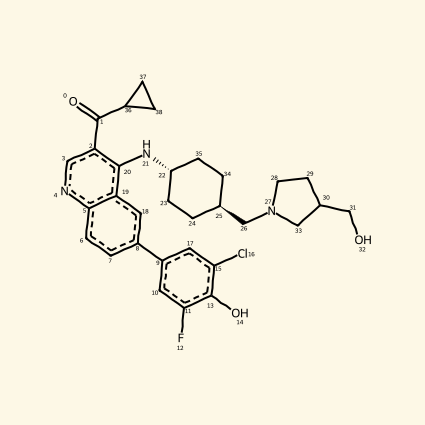 O=C(c1cnc2ccc(-c3cc(F)c(O)c(Cl)c3)cc2c1N[C@H]1CC[C@H](CN2CCC(CO)C2)CC1)C1CC1